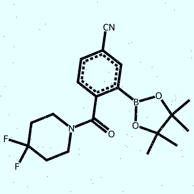 CC1(C)OB(c2cc(C#N)ccc2C(=O)N2CCC(F)(F)CC2)OC1(C)C